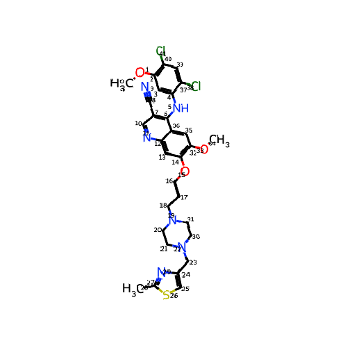 COc1cc(Nc2c(C#N)cnc3cc(OCCCN4CCN(Cc5csc(C)n5)CC4)c(OC)cc23)c(Cl)cc1Cl